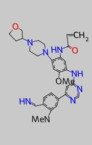 C=CC(=O)Nc1cc(Nc2cc(-c3ccc(C=N)c(NC)c3)ncn2)c(OC)cc1N1CCN(C2CCOC2)CC1